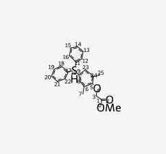 COC(=O)COc1c(C)cc([SH](c2ccccc2)c2ccccc2)cc1C